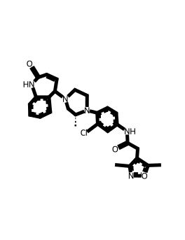 Cc1noc(C)c1CC(=O)Nc1ccc(N2CCN(C3C=CC(=O)Nc4ccccc43)C[C@H]2C)c(Cl)c1